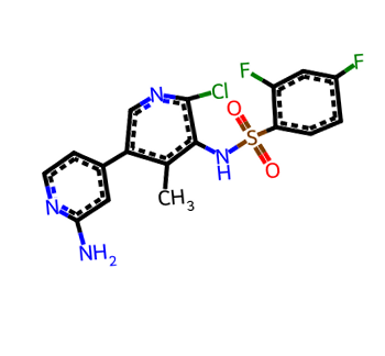 Cc1c(-c2ccnc(N)c2)cnc(Cl)c1NS(=O)(=O)c1ccc(F)cc1F